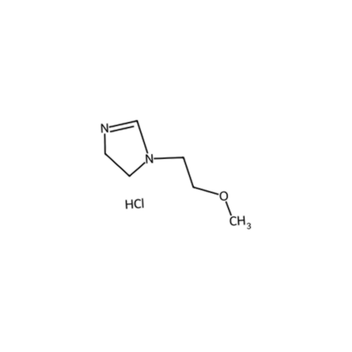 COCCN1C=NCC1.Cl